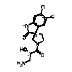 NC[C@H](O)C(=O)N1CC[C@]2(C1)C(=O)Nc1cc(Cl)c(Cl)cc12